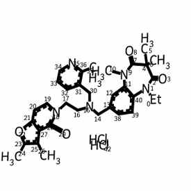 CCN1C(=O)C(C)(C)C(=O)N(C)c2cc(CN(CCn3ccc4oc(C)c(C)c4c3=O)Cc3cccnc3C)ccc21.Cl.Cl